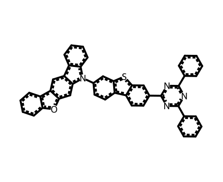 c1ccc(-c2nc(-c3ccccc3)nc(-c3ccc4c(c3)sc3cc(-n5c6ccccc6c6cc7c(cc65)oc5ccccc57)ccc34)n2)cc1